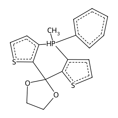 C[PH]1(c2ccccc2)c2ccsc2C2(OCCO2)c2sccc21